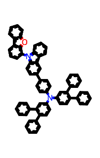 c1ccc(-c2ccc(N(c3ccc(-c4ccc5c(c4)c4ccccc4n5-c4cccc5c4oc4ccccc45)cc3)c3ccc(-c4ccccc4)c(-c4ccccc4)c3)cc2-c2ccccc2)cc1